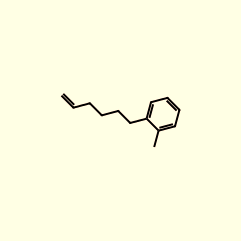 C=CCCCCc1ccccc1C